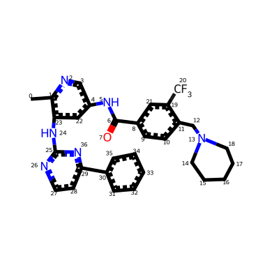 Cc1ncc(NC(=O)c2ccc(CN3CCCCC3)c(C(F)(F)F)c2)cc1Nc1nccc(-c2ccccc2)n1